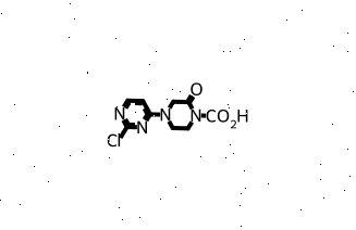 O=C(O)N1CCN(c2ccnc(Cl)n2)CC1=O